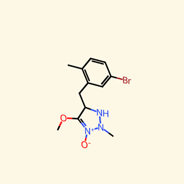 COC1=[N+]([O-])N(C)NC1Cc1cc(Br)ccc1C